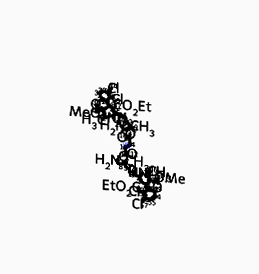 CCOC(=O)C1=C(COCC(C)(CN)OC(=O)/C=C/C(=O)OC(C)(CN)COCC2=C(C(=O)OCC)C(c3cccc(Cl)c3Cl)C(C(=O)OC)=C(C)N2)NC(C)=C(C(=O)OC)C1c1cccc(Cl)c1Cl